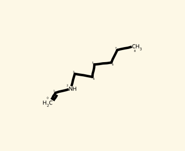 C=CNCCCCCC